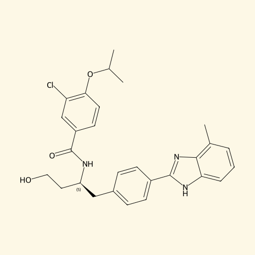 Cc1cccc2[nH]c(-c3ccc(C[C@@H](CCO)NC(=O)c4ccc(OC(C)C)c(Cl)c4)cc3)nc12